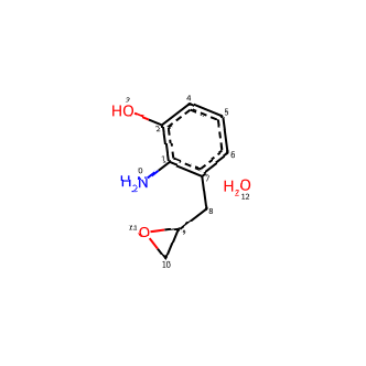 Nc1c(O)cccc1CC1CO1.O